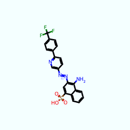 Nc1c(/N=N/c2ccc(-c3ccc(C(F)(F)F)cc3)nc2)cc(S(=O)(=O)O)c2ccccc12